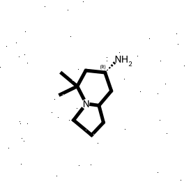 CC1(C)C[C@H](N)CC2CCCN21